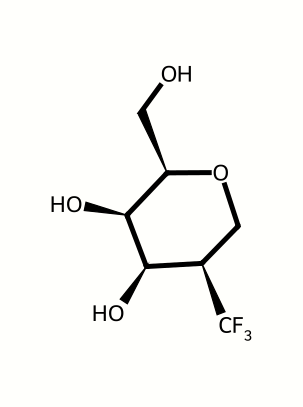 OC[C@H]1OC[C@@H](C(F)(F)F)[C@@H](O)[C@H]1O